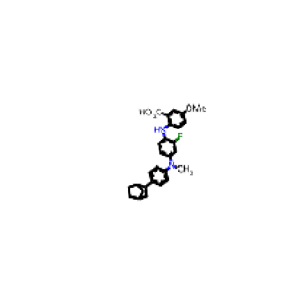 COc1ccc(Nc2ccc(N(C)c3ccc(C4CC5CCC4C5)cc3)cc2F)c(C(=O)O)c1